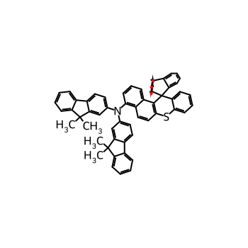 CC1(C)c2ccccc2-c2ccc(N(c3ccc4c(c3)C(C)(C)c3ccccc3-4)c3cccc4c5c(ccc34)Sc3ccccc3C53c4ccccc4-c4ccccc43)cc21